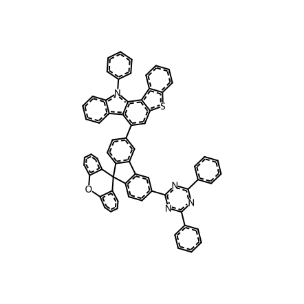 c1ccc(-c2nc(-c3ccccc3)nc(-c3ccc4c(c3)-c3cc(-c5cc6sc7ccccc7c6c6c5c5ccccc5n6-c5ccccc5)ccc3C43c4ccccc4Oc4ccccc43)n2)cc1